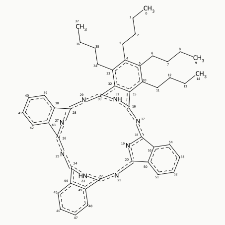 CCCCc1c(CCCC)c(CCCC)c2c3nc4nc(nc5[nH]c(nc6nc(nc([nH]3)c2c1CCCC)-c1ccccc1-6)c1ccccc51)-c1ccccc1-4